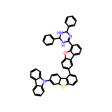 C1=CC2c3c(cccc3-c3ccc4oc5c(C6=NC(c7ccccc7)NC(c7ccccc7)N6)cccc5c4c3)SC2C=C1n1c2ccccc2c2ccccc21